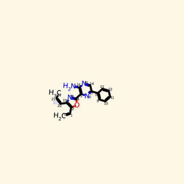 C=Cc1oc(-c2nc(-c3ccccc3)cnc2N)nc1/C=C\C